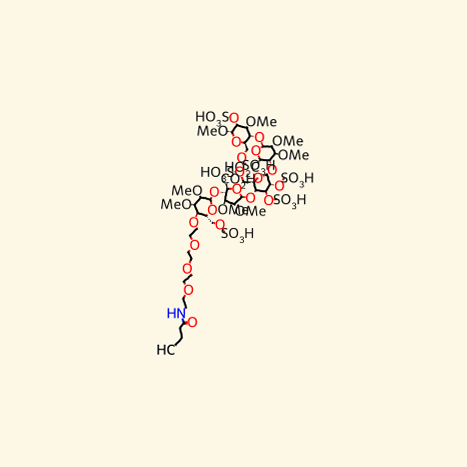 C#CCCC(=O)NCCOCCOCCOCCO[C@H]1[C@H](OC)[C@@H](OC)[C@@H](O[C@H]2[C@H](OC)[C@@H](OC)[C@H](O[C@H]3[C@H](OS(=O)(=O)O)[C@@H](OS(=O)(=O)O)[C@@H](O[C@H]4[C@H](OC)[C@@H](OC)[C@H](O[C@H]5[C@H](OC)[C@@H](OS(=O)(=O)O)[C@@H](OC)O[C@@H]5COS(=O)(=O)O)O[C@H]4C(=O)O)O[C@@H]3COS(=O)(=O)O)O[C@@H]2C(=O)O)O[C@@H]1COS(=O)(=O)O